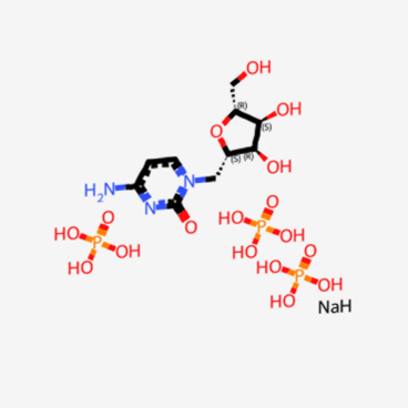 Nc1ccn(C[C@@H]2O[C@H](CO)[C@@H](O)[C@H]2O)c(=O)n1.O=P(O)(O)O.O=P(O)(O)O.O=P(O)(O)O.[NaH]